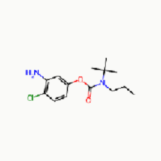 CCCN(C(=O)Oc1ccc(Cl)c(N)c1)C(C)(C)C